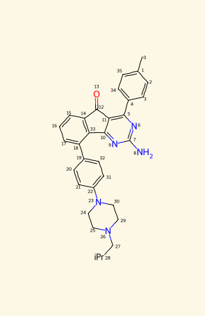 Cc1ccc(-c2nc(N)nc3c2C(=O)c2cccc(-c4ccc(N5CCN(CC(C)C)CC5)cc4)c2-3)cc1